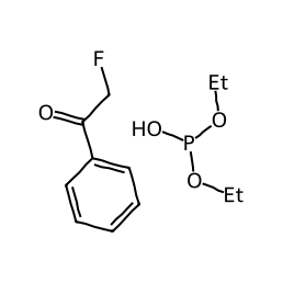 CCOP(O)OCC.O=C(CF)c1ccccc1